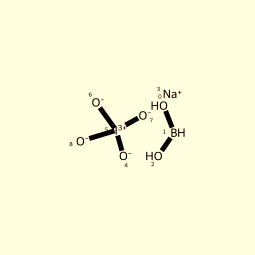 OBO.[Na+].[O-][I+3]([O-])([O-])[O-]